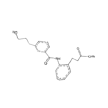 COC(=O)CCc1ccccc1NC(=O)c1cccc(CCCO)c1